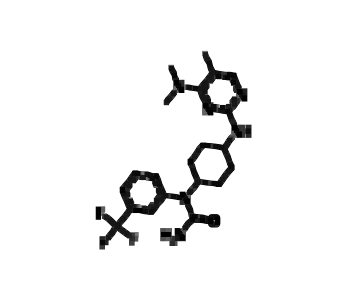 Cc1cnc(NC2CCC(N(C(N)=O)c3cccc(C(F)(F)F)c3)CC2)nc1N(C)C